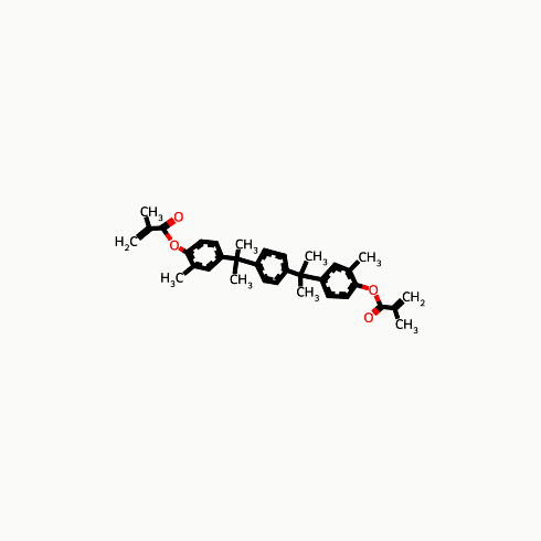 C=C(C)C(=O)Oc1ccc(C(C)(C)c2ccc(C(C)(C)c3ccc(OC(=O)C(=C)C)c(C)c3)cc2)cc1C